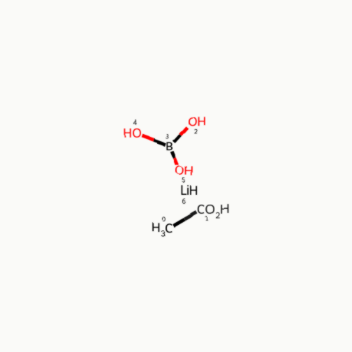 CC(=O)O.OB(O)O.[LiH]